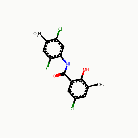 Cc1cc(Cl)cc(C(=O)Nc2cc(Cl)c([N+](=O)[O-])cc2Cl)c1O